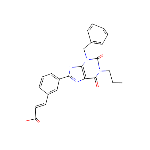 CCCn1c(=O)c2nc(-c3cccc(/C=C/C(=O)O)c3)[nH]c2n(Cc2ccccc2)c1=O